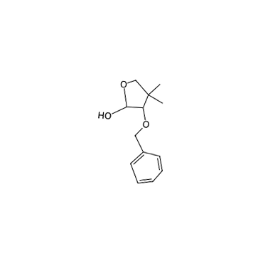 CC1(C)COC(O)C1OCc1ccccc1